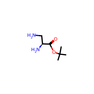 CC(C)(C)OC(=O)[C@@H](N)CN